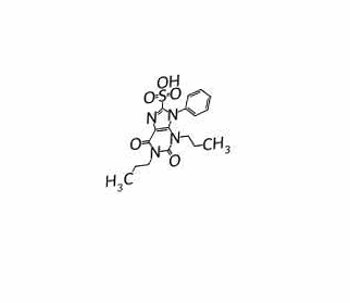 CCCn1c(=O)c2nc(S(=O)(=O)O)n(-c3ccccc3)c2n(CCC)c1=O